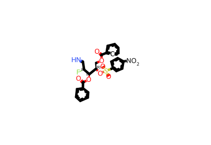 N=C[C@@H](F)[C@H](OC(=O)c1ccccc1)[C@@H](COC(=O)c1ccccc1)OS(=O)(=O)c1ccc([N+](=O)[O-])cc1